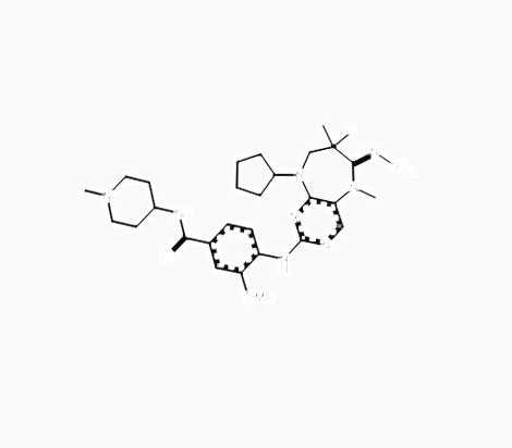 COc1cc(C(=O)NC2CCN(C)CC2)ccc1Nc1ncc2c(n1)N(C1CCCC1)CC(C)(F)/C(=N/[N+](=O)[O-])N2C